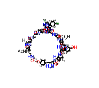 CC(=O)N[C@H]1CCNC(=O)COc2ccc(cc2)CC(C(N)=O)NC(=O)[C@]2(C)CCCN2C(=O)[C@H](Cc2ccc(O)cc2)NC(=O)[C@H](Cc2cnc[nH]2)NC(=O)[C@H](CC(=O)O)NC(=O)[C@H](Cc2c[nH]c3ccc(F)cc23)NC(=O)[C@H](Cc2c[nH]c3ccc(F)cc23)NC(=O)CNC(=O)[C@H](C)NC1=O